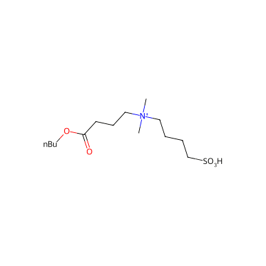 CCCCOC(=O)CCC[N+](C)(C)CCCCS(=O)(=O)O